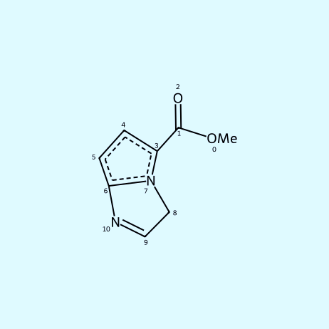 COC(=O)c1ccc2n1CC=N2